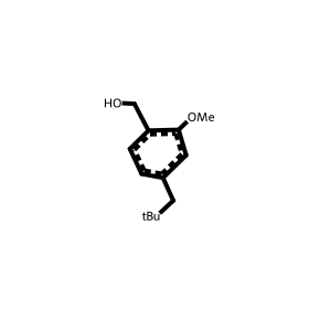 COc1cc(CC(C)(C)C)ccc1CO